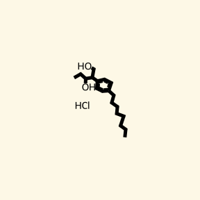 CCCCCCCCc1ccc(C(CO)C(O)CC)cc1.Cl